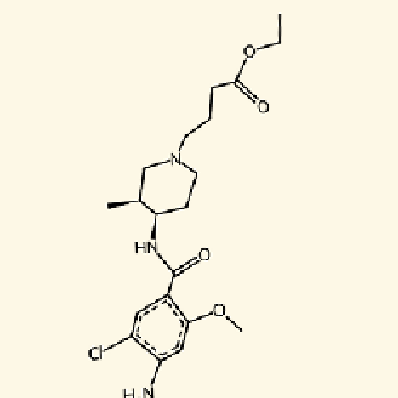 CCOC(=O)CCCN1CC[C@@H](NC(=O)c2cc(Cl)c(N)cc2OC)[C@@H](C)C1